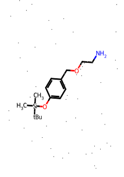 CC(C)(C)[Si](C)(C)Oc1ccc(COCCN)cc1